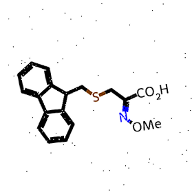 CON=C(CSCC1c2ccccc2-c2ccccc21)C(=O)O